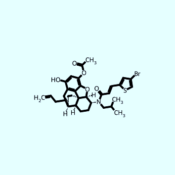 C=CCN1CC[C@]23c4c5c(O)cc(OC(C)=O)c4O[C@H]2[C@H](N(CC(C)C)C(=O)/C=C/c2cc(Br)cs2)CC[C@H]3[C@H]1C5